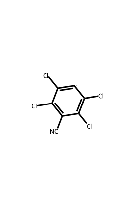 N#Cc1c(Cl)c(Cl)[c]c(Cl)c1Cl